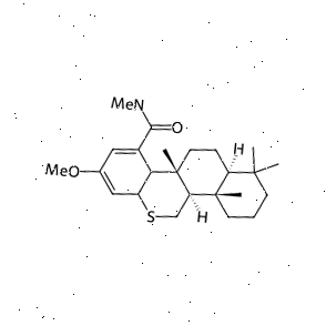 CNC(=O)C1=CC(OC)=CC2SC[C@@H]3[C@@]4(C)CCCC(C)(C)[C@@H]4CC[C@@]3(C)C12